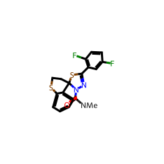 CNC(=O)N1N=C(c2cc(F)ccc2F)SC12CCSc1ccccc12